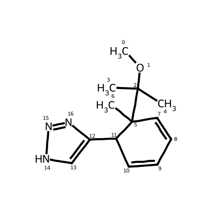 COC(C)(C)C1(C)C=CC=CC1c1c[nH]nn1